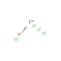 CBr.[C+4].[Cl-].[Cl-].[Cl-].[Cl-]